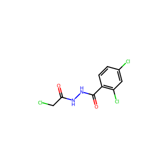 O=C(CCl)NNC(=O)c1ccc(Cl)cc1Cl